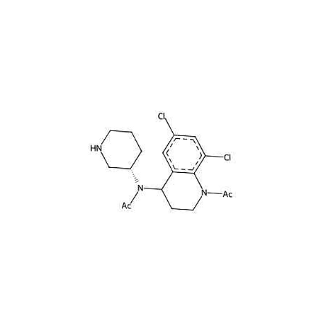 CC(=O)N1CCC(N(C(C)=O)[C@H]2CCCNC2)c2cc(Cl)cc(Cl)c21